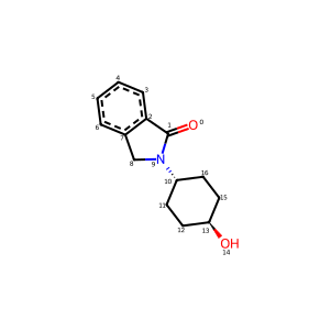 O=C1c2ccccc2CN1[C@H]1CC[C@H](O)CC1